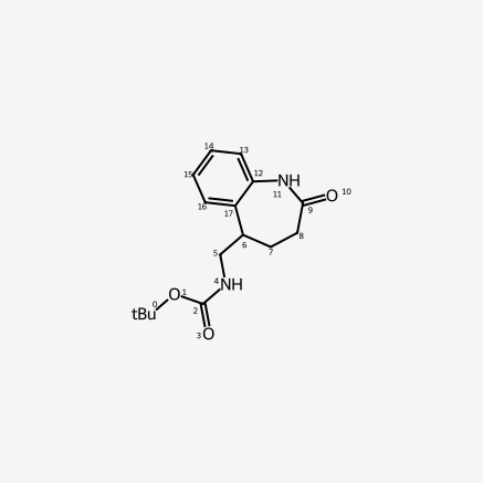 CC(C)(C)OC(=O)NCC1CCC(=O)Nc2ccccc21